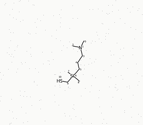 CN(C)CCC[Si](C)(C)CS